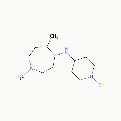 CC1CCN(C)CCC1NC1CCN(S)CC1